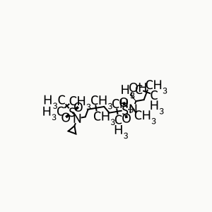 CN([C@@H](CO)CC(C)(C)C)S(=O)(=O)C(C)(C)CCC(C)(C)CCN(C1CC1)S(=O)(=O)C(C)(C)C